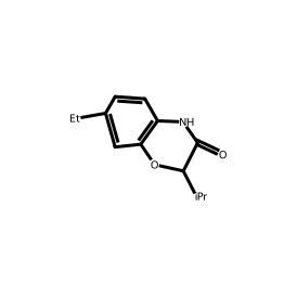 CCc1ccc2c(c1)OC(C(C)C)C(=O)N2